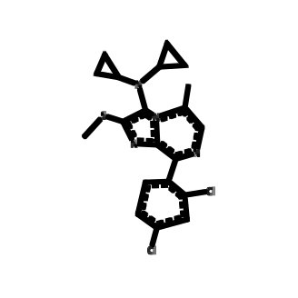 CSc1nc2c(-c3ccc(Cl)cc3Cl)ncc(C)n2c1N(C1CC1)C1CC1